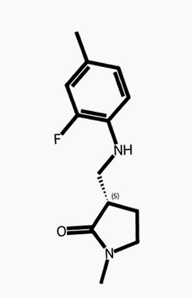 Cc1ccc(NC[C@@H]2CCN(C)C2=O)c(F)c1